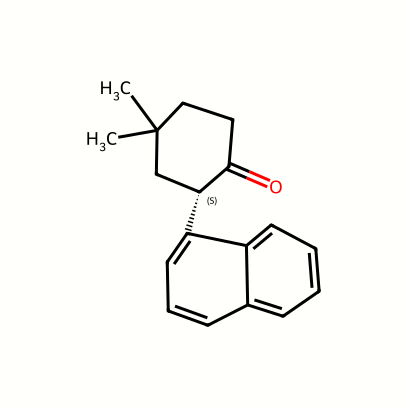 CC1(C)CCC(=O)[C@H](c2cccc3ccccc23)C1